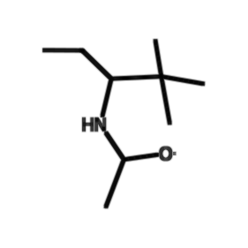 CCC(NC(C)[O])C(C)(C)C